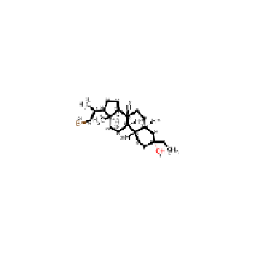 CC[C@@]1(O)CC[C@H]2[C@@H](CC[C@@H]3[C@@H]2CC[C@]2(C)C(C(C)CBr)CC[C@@H]32)C1